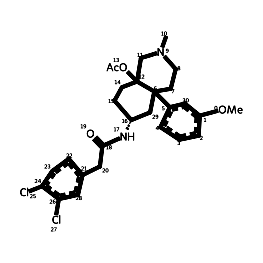 COc1cccc(C23CCN(C)CC2(OC(C)=O)CC[C@@H](NC(=O)Cc2ccc(Cl)c(Cl)c2)C3)c1